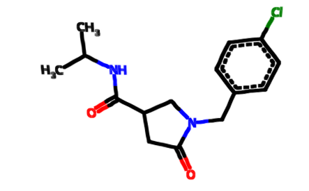 CC(C)NC(=O)C1CC(=O)N(Cc2ccc(Cl)cc2)C1